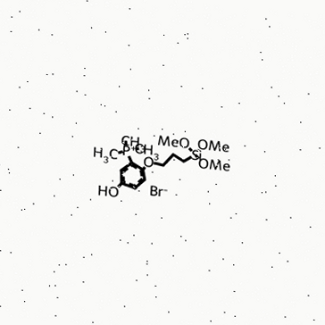 CO[Si](CCCOc1ccc(O)cc1[P+](C)(C)C)(OC)OC.[Br-]